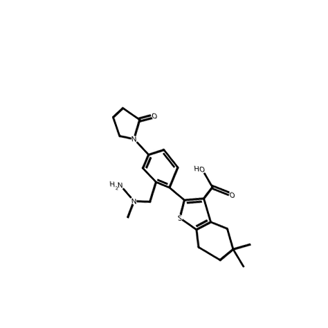 CN(N)Cc1cc(N2CCCC2=O)ccc1-c1sc2c(c1C(=O)O)CC(C)(C)CC2